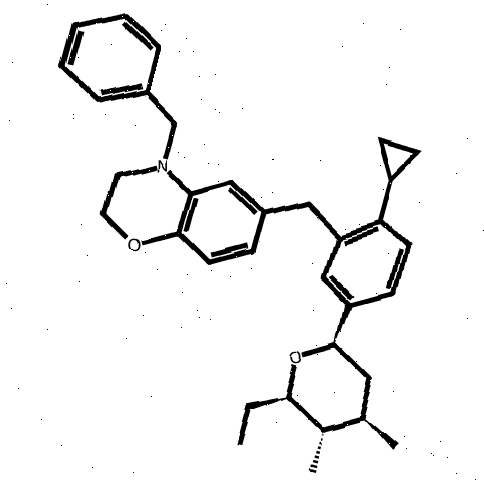 CC[C@H]1O[C@@H](c2ccc(C3CC3)c(Cc3ccc4c(c3)N(Cc3ccccc3)CCO4)c2)C[C@@H](C)[C@@H]1C